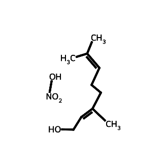 CC(C)=CCCC(C)=CCO.O=[N+]([O-])O